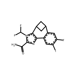 NC(=O)c1nc2c(n1C(F)F)C1CC(C1)c1cc(F)c(I)cc1-2